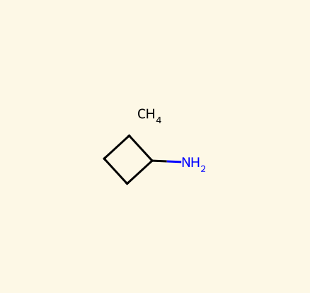 C.NC1CCC1